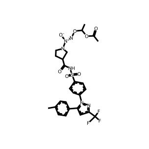 CC(=O)OC(C)ON=[N+]([O-])N1CCC(C(=O)NS(=O)(=O)c2ccc(-n3nc(C(F)(F)F)cc3-c3ccc(C)cc3)cc2)C1